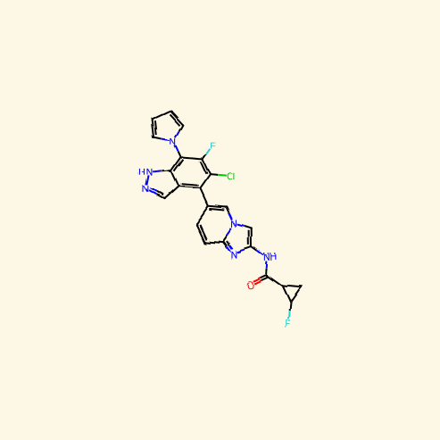 O=C(Nc1cn2cc(-c3c(Cl)c(F)c(-n4cccc4)c4[nH]ncc34)ccc2n1)C1CC1F